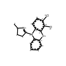 CC1CCC(N2c3ccccc3Oc3c2ccc(Cl)c3Cl)=N1